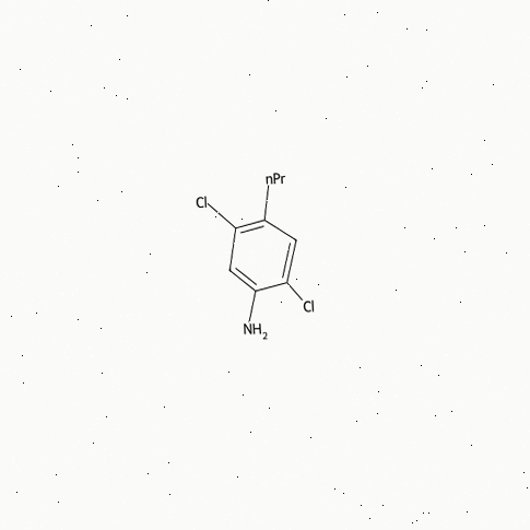 CCCc1cc(Cl)c(N)cc1Cl